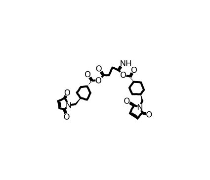 N=C(CCC(=O)OC(=O)[C@H]1CC[C@H](CN2C(=O)C=CC2=O)CC1)OC(=O)[C@H]1CC[C@H](CN2C(=O)C=CC2=O)CC1